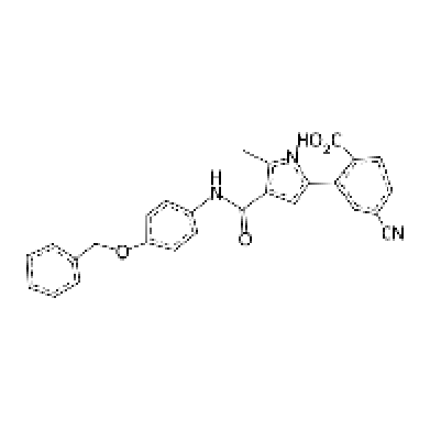 Cc1c(C(=O)Nc2ccc(OCc3ccccc3)cc2)cc(-c2cc(C#N)ccc2C(=O)O)n1C